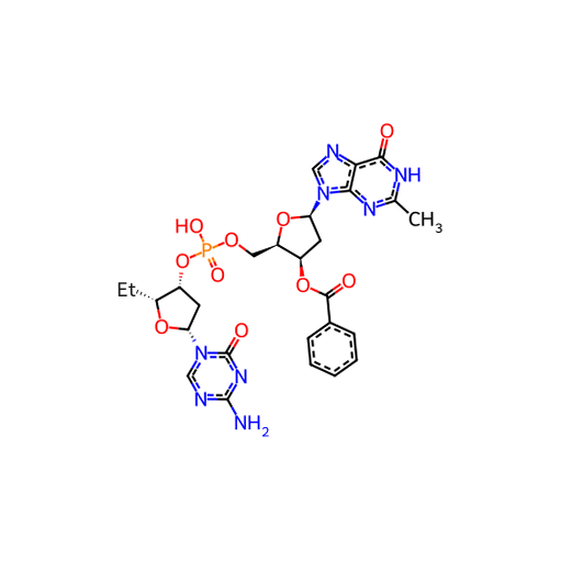 CC[C@H]1O[C@@H](n2cnc(N)nc2=O)C[C@H]1OP(=O)(O)OC[C@H]1O[C@@H](n2cnc3c(=O)[nH]c(C)nc32)C[C@H]1OC(=O)c1ccccc1